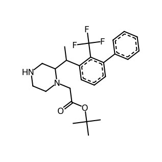 CC(c1cccc(-c2ccccc2)c1C(F)(F)F)C1CNCCN1CC(=O)OC(C)(C)C